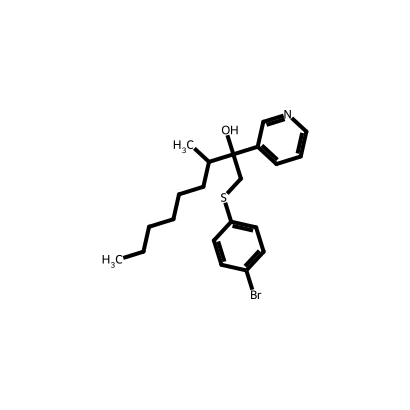 CCCCCCC(C)C(O)(CSc1ccc(Br)cc1)c1cccnc1